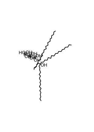 CC=CC=C(CCCCCCCCCCCCCCCCCC)C(O)(CCCCCCCCCCCCCCCCCC)CCCCCCCCCCCCCCCCCC.OP(O)O.OP(O)O.OP(O)O